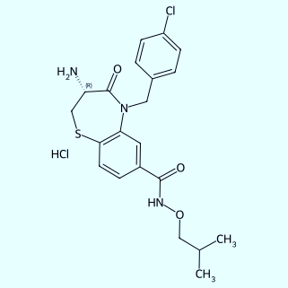 CC(C)CONC(=O)c1ccc2c(c1)N(Cc1ccc(Cl)cc1)C(=O)[C@@H](N)CS2.Cl